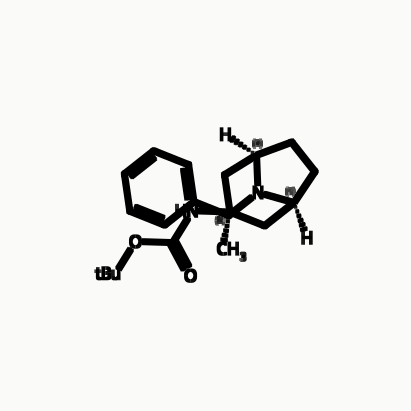 CC(C)(C)OC(=O)N[C@@]1(C)C[C@H]2CC[C@@H](C1)N2Cc1ccccc1